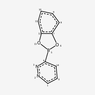 c1cnnc(B2Oc3ccccc3O2)c1